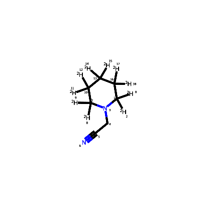 [2H]C1([2H])N(CC#N)C([2H])([2H])C([2H])([2H])C([2H])([2H])C1([2H])[2H]